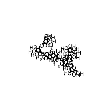 CC(CCC(OC[C@@]1(C)OC(COC[C@@]2(C)OC(CO)[C@H](O)C(O)[C@H]2O)[C@H](O)C(O)[C@H]1O[C@@]1(C)CC(CO)[C@H](O)C(O)[C@H]1O)C(C)(C)O)[C@H](C)C1CC(O)[C@]2(C)C3CCC(OC[C@]4(C)CC(COC[C@]5(C)CC(CO)[C@@H](O)[C@@H](O)C5O)[C@@H](O)[C@@H](O)C4O)C(C)(C)C3=CCC2[C@H]1C